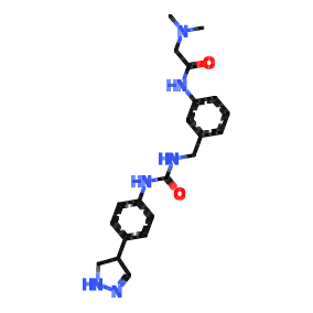 CN(C)CC(=O)Nc1cccc(CNC(=O)Nc2ccc(C3C=NNC3)cc2)c1